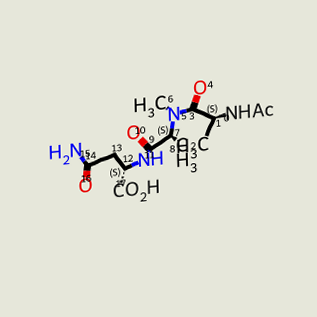 CC(=O)N[C@@H](C)C(=O)N(C)[C@@H](C)C(=O)N[C@@H](CC(N)=O)C(=O)O